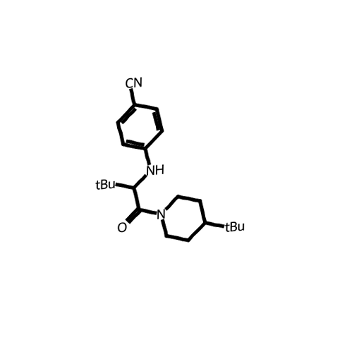 CC(C)(C)C1CCN(C(=O)C(Nc2ccc(C#N)cc2)C(C)(C)C)CC1